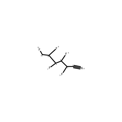 N#CC(F)C(F)C(F)C(F)CF